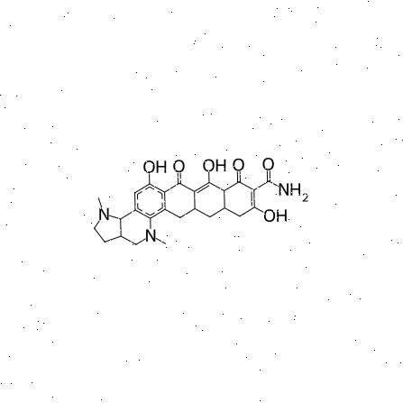 CN1CC2CCN(C)C2c2cc(O)c3c(c21)CC1CC2CC(O)=C(C(N)=O)C(=O)C2C(O)=C1C3=O